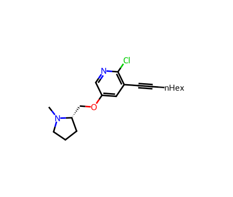 CCCCCCC#Cc1cc(OC[C@@H]2CCCN2C)cnc1Cl